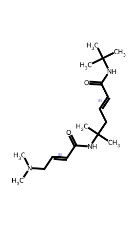 CN(C)C/C=C/C(=O)NC(C)(C)C/C=C/C(=O)NC(C)(C)C